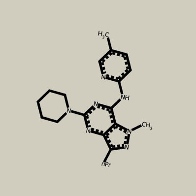 CCCc1nn(C)c2c(Nc3ccc(C)cn3)nc(N3CCCCC3)nc12